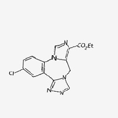 CCOC(=O)c1ncn2c1Cn1cnnc1-c1cc(Cl)ccc1-2